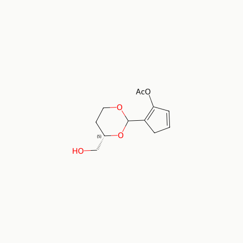 CC(=O)OC1=C(C2OCC[C@@H](CO)O2)CC=C1